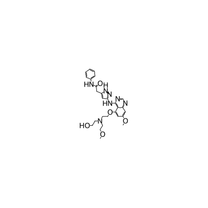 COCCN(CCO)CCOc1cc(OC)cc2ncnc(Nc3cc(CC(=O)Nc4ccccc4)[nH]n3)c12